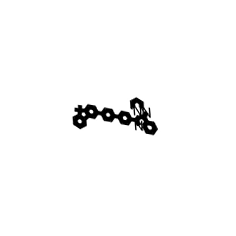 CC1(C)c2ccccc2-c2cc(-c3ccc(-c4ccc(-c5nc6ccccc6c6nc7ccccn7c56)cc4)cc3)ccc21